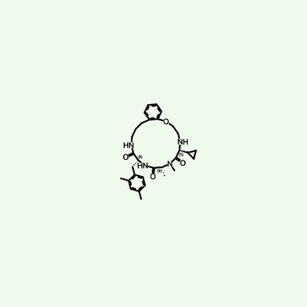 Cc1ccc(C[C@H]2NC(=O)[C@@H](C)N(C)C(=O)[C@H](C3CC3)NCCOc3ccccc3CCCNC2=O)c(C)c1